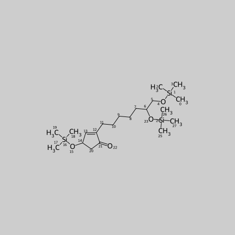 C[Si](C)(C)OCC(CCCCCC1=CC(O[Si](C)(C)C)CC1=O)O[Si](C)(C)C